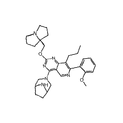 CCCc1c(-c2ccccc2OC)ncc2c(N3CC4CCC(C3)N4)nc(OCC34CCCN3CCC4)nc12